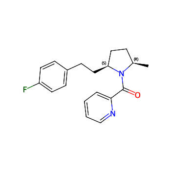 C[C@@H]1CC[C@H](CCc2ccc(F)cc2)N1C(=O)c1ccccn1